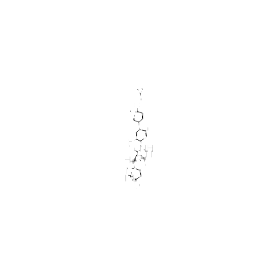 O=C(Nc1cc(Cl)c(-c2ccc(OCC3CC3)nc2)cc1F)N1[C@H]2CC[C@@H]1c1n[nH]c(=O)cc1C2